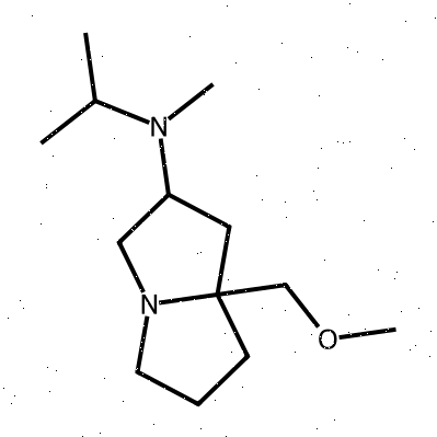 COCC12CCCN1CC(N(C)C(C)C)C2